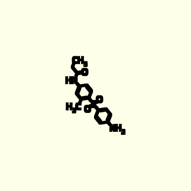 CCC(=O)Nc1ccc(S(=O)(=O)c2ccc(N)cc2)c(C)c1